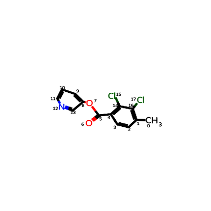 Cc1ccc(C(=O)Oc2cccnc2)c(Cl)c1Cl